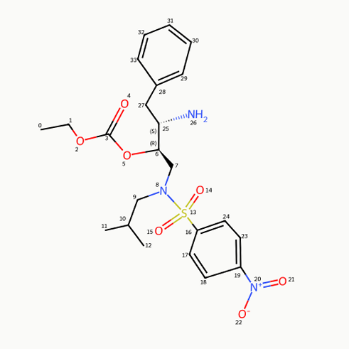 CCOC(=O)O[C@H](CN(CC(C)C)S(=O)(=O)c1ccc([N+](=O)[O-])cc1)[C@@H](N)Cc1ccccc1